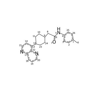 Cc1ccc(NC(=O)CC2CCC(c3ccnc4cccnc34)CC2)cc1